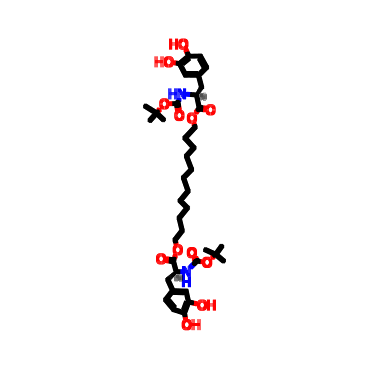 CC(C)(C)OC(=O)N[C@@H](Cc1ccc(O)c(O)c1)C(=O)OCCCCCCCCCCCCOC(=O)[C@H](Cc1ccc(O)c(O)c1)NC(=O)OC(C)(C)C